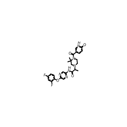 CC(C(=O)Nc1cnc(Oc2ccc(F)cc2F)cn1)N1CCN(C(=O)c2ccc(=O)[nH]c2)C(C)(C)C1